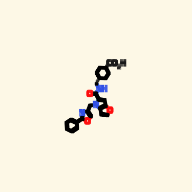 O=C(NC[C@H]1CC[C@H](C(=O)O)CC1)c1cc2occc2n1Cc1coc(-c2ccccc2)n1